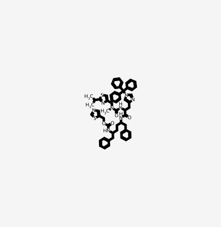 CC(C)c1nc(CN(C)C(=O)NC(Cc2cn(C(c3ccccc3)(c3ccccc3)c3ccccc3)cn2)C(=O)NC(CCC(Cc2ccccc2)NC(=O)OCc2cncs2)Cc2ccccc2)cs1